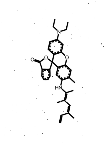 C=C/C(C)=C\C(C)=C(/C)Nc1cc2c(cc1C)Oc1cc(N(CC)CC)ccc1C21OC(=O)c2ccccc21